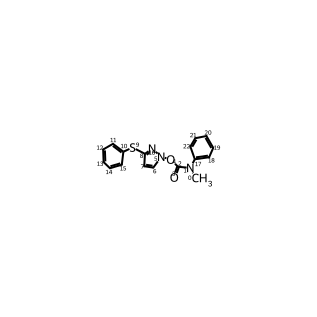 CN(C(=O)On1ccc(Sc2ccccc2)n1)c1ccccc1